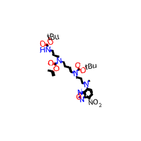 C=C(C)OC(=O)N(CCCCN(CCCN(C)c1ccc([N+](=O)[O-])c2nonc12)C(=O)OC(C)(C)C)CCCNC(=O)OC(C)(C)C